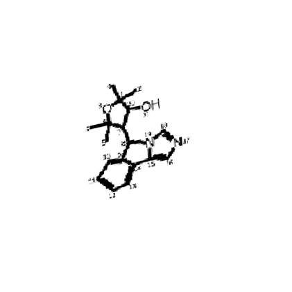 CC1(C)OC(C)(C)C(C2c3ccccc3-c3cncn32)C1O